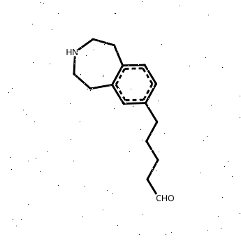 O=CCCCCc1ccc2c(c1)CCNCC2